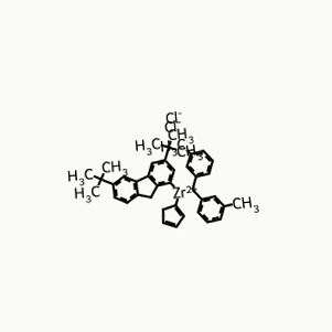 Cc1cccc([C](c2cccc(C)c2)=[Zr+2]([C]2=CC=CC2)[c]2cc(C(C)(C)C)cc3c2Cc2ccc(C(C)(C)C)cc2-3)c1.[Cl-].[Cl-]